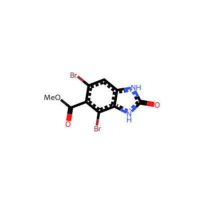 COC(=O)c1c(Br)cc2[nH]c(=O)[nH]c2c1Br